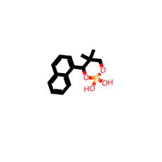 CC1(C)CO[P](O)(O)OC1c1cccc2ccccc12